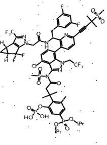 Cc1cc(P(=O)(OC(C)C)OC(C)C)cc(OP(=O)(O)O)c1C(C)(C)CC(=O)N(c1nn(CC(F)(F)F)c2c(-c3ccc(C#CC(C)(C)S(C)(=O)=O)nc3[C@H](Cc3cc(F)cc(F)c3)NC(=O)Cn3nc(C(F)(F)F)c4c3C(F)(F)[C@@H]3C[C@H]43)ccc(Cl)c12)S(C)(=O)=O